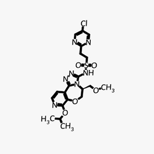 COC[C@H]1COc2c(ccnc2OC(C)C)-c2nnc(NS(=O)(=O)CCc3ncc(Cl)cn3)n21